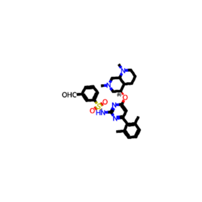 Cc1cccc(C)c1-c1cc(O[C@H]2CN(C)CC3C2CCCN3C)nc(NS(=O)(=O)c2cccc(C=O)c2)n1